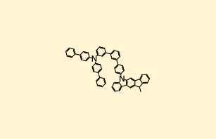 CC1c2ccccc2-c2cc3c(cc21)c1ccccc1n3-c1ccc(-c2cccc(-c3cccc(N(c4ccc(-c5ccccc5)cc4)c4ccc(-c5ccccc5)cc4)c3)c2)cc1